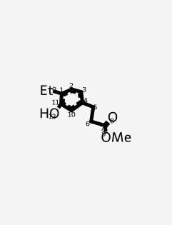 CCc1ccc(CCC(=O)OC)cc1O